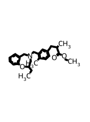 CCOC(=O)C(C)Cc1ccc(C)c(CN2Cc3ccccc3OC(CC)C2)c1